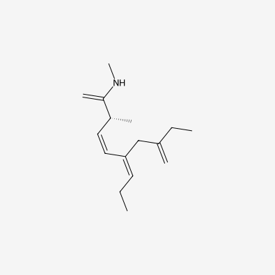 C=C(CC)CC(/C=C\[C@@H](C)C(=C)NC)=C/CC